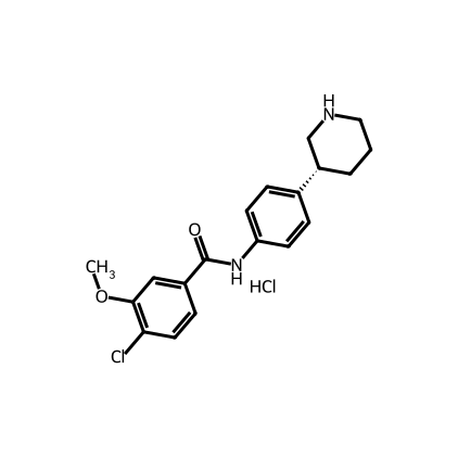 COc1cc(C(=O)Nc2ccc([C@H]3CCCNC3)cc2)ccc1Cl.Cl